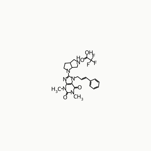 Cn1c(=O)c2c(nc(N3CCC4CNCC43)n2CC=Cc2ccccc2)n(C)c1=O.O=C(O)C(F)(F)F